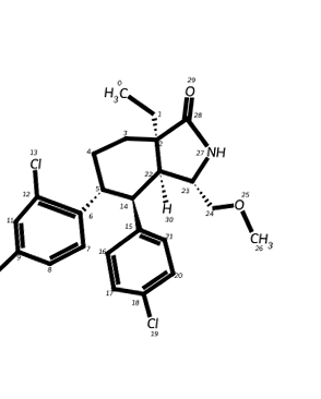 CC[C@@]12CC[C@@H](c3ccc(Cl)cc3Cl)[C@H](c3ccc(Cl)cc3)[C@@H]1[C@@H](COC)NC2=O